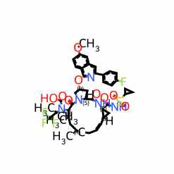 COc1ccc2c(O[C@@H]3C[C@H]4C(=O)N[C@]5(C(=O)NS(=O)(=O)C6CC6)C[C@H]5C=CCC[C@@H](C)C[C@@H](C)[C@H](N(C(=O)O)C(C)(C)C(F)(F)F)C(=O)N4C3)nc(-c3ccc(F)cc3)cc2c1